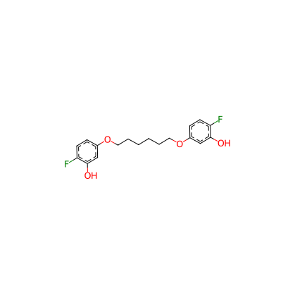 Oc1cc(OCCCCCCOc2ccc(F)c(O)c2)ccc1F